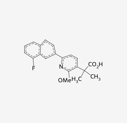 COc1nc(-c2ccc3cccc(F)c3c2)ccc1C(C)(C)C(=O)O